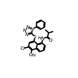 CC(C)C(=O)Nc1cccc2c(O)c(Cl)cc(Sc3nnnn3-c3ccccc3)c12